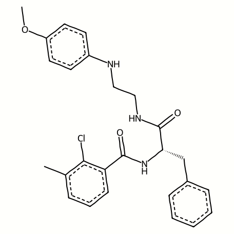 COc1ccc(NCCNC(=O)[C@H](Cc2ccccc2)NC(=O)c2cccc(C)c2Cl)cc1